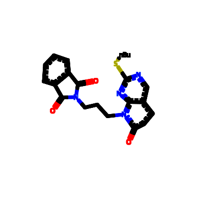 CCCCSc1ncc2ccc(=O)n(CCCN3C(=O)c4ccccc4C3=O)c2n1